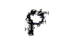 CC1=C\C(O)CC(F)Cc2nc(co2)C(=O)N2CCCC2C(=O)OC(C(C)COC(=O)Nc2cc(C)on2)C(C)/C=C/C(=O)NC\C=C\1